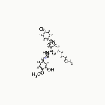 CCCCCCc1nc(-c2ccc(Cl)cc2)sc1C(=O)N/N=C/c1ccc(OC)c(O)c1